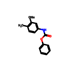 COc1cc(NC(=O)Oc2ccccc2)ccc1C